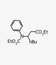 CCCCC(CC(=O)OCC)N(C(=O)OCC)c1ccccc1